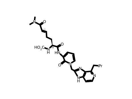 CC(C)Cc1nccc2[nH]c(Cn3cccc(NC(=O)[C@H](CC/C=C/C(=O)N(C)C)NC(=O)O)c3=O)nc12